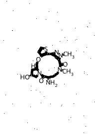 CN1CC[C@H](N)C(=O)N2C[C@@H](O)C[C@H]2COc2ccsc2-c2cc(n(C)n2)C1=O